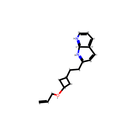 C=CCOC1CC(CCc2ccc3cccnc3n2)C1